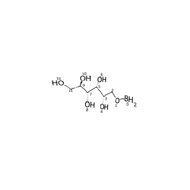 BOC[C@H](O)[C@@H](O)[C@H](O)[C@H](O)CO